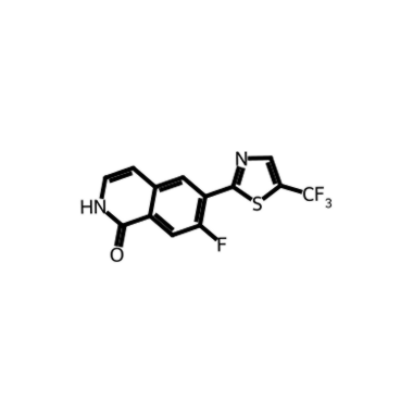 O=c1[nH]ccc2cc(-c3ncc(C(F)(F)F)s3)c(F)cc12